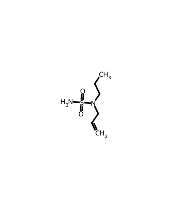 C=CCN(CCC)S(N)(=O)=O